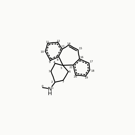 CNC1CCC2(CC1)c1ccccc1C=Cc1ccccc12